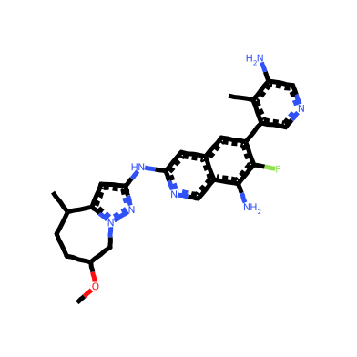 COC1CCC(C)c2cc(Nc3cc4cc(-c5cncc(N)c5C)c(F)c(N)c4cn3)nn2C1